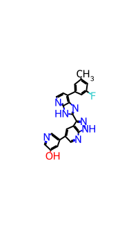 Cc1cc(F)cc(-c2ccnc3[nH]c(-c4n[nH]c5ncc(-c6cncc(O)c6)cc45)nc23)c1